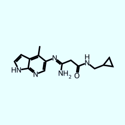 Cc1c(/N=C(\N)CC(=O)NCC2CC2)cnc2[nH]ccc12